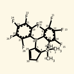 C[Si](C)(C)C1=C(B(c2c(F)c(F)c(F)c(F)c2F)c2c(F)c(F)c(F)c(F)c2F)C=CC1